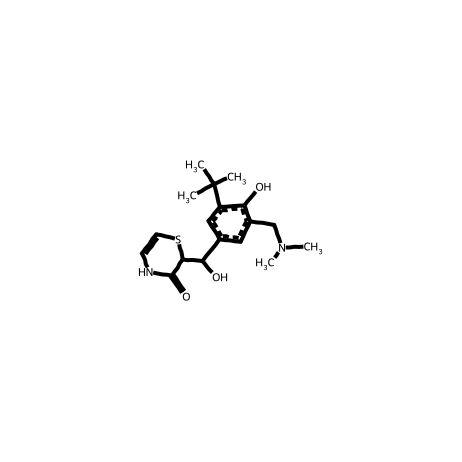 CN(C)Cc1cc(C(O)C2SC=CNC2=O)cc(C(C)(C)C)c1O